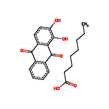 CCCCCCCC(=O)O.O=C1c2ccccc2C(=O)c2c1ccc(O)c2O